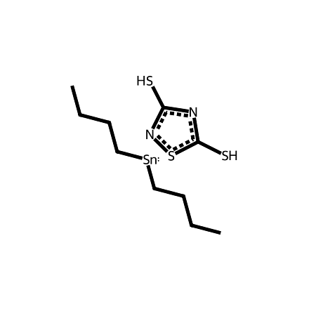 CCC[CH2][Sn][CH2]CCC.Sc1nsc(S)n1